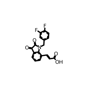 O=C(O)C=Cc1cccc2c1N(Cc1ccc(F)c(F)c1)C(=O)C2=O